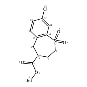 CC(C)(C)OC(=O)N1CCS(=O)(=O)c2cc(Cl)ccc2C1